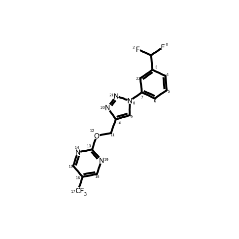 FC(F)c1cccc(-n2cc(COc3ncc(C(F)(F)F)cn3)nn2)c1